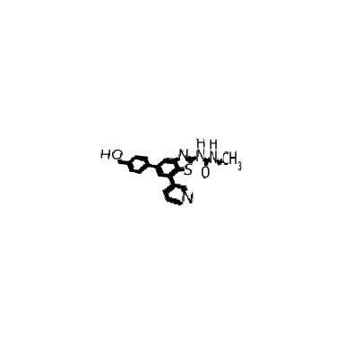 CCNC(=O)Nc1nc2cc(-c3ccc(CO)cc3)cc(-c3cccnc3)c2s1